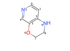 [c]1cc2c(cn1)OCCN2